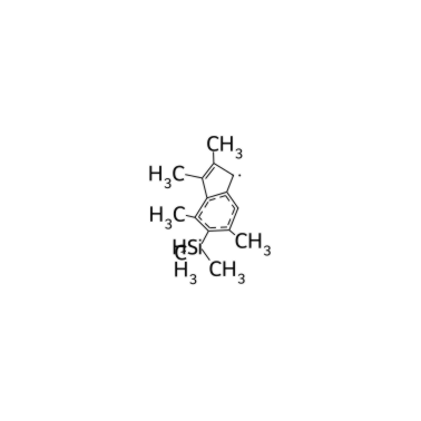 CC1=C(C)c2c(cc(C)c([SiH](C)C)c2C)[CH]1